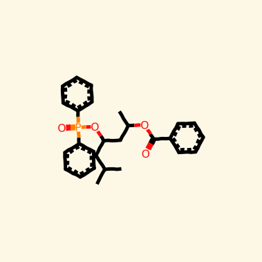 CC(C)CC(CC(C)OC(=O)c1ccccc1)OP(=O)(c1ccccc1)c1ccccc1